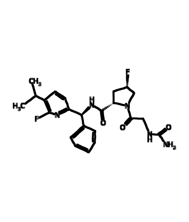 CC(C)c1ccc([C@@H](NC(=O)[C@@H]2C[C@@H](F)CN2C(=O)CNC(N)=O)c2ccccc2)nc1F